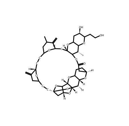 C=C1CC2CC[C@@]34C[C@H]5O[C@H]6[C@@H](O3)[C@H]3O[C@H](CCC3O[C@H]6C5O4)CC(=O)OC3[C@@H](C)C4OC(CCO)[C@H](O)CC4O[C@H]3C[C@H]3OC(CC[C@@H]1O2)CC(C)C3=C